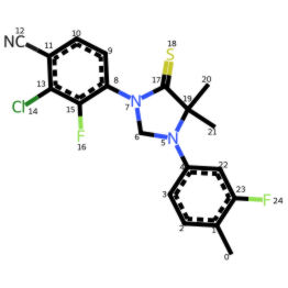 Cc1ccc(N2CN(c3ccc(C#N)c(Cl)c3F)C(=S)C2(C)C)cc1F